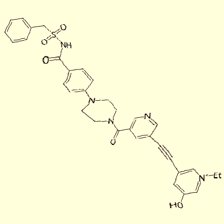 CC[n+]1cc(O)cc(C#Cc2cncc(C(=O)N3CCN(c4ccc(C(=O)NS(=O)(=O)Cc5ccccc5)cc4)CC3)c2)c1